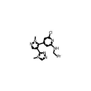 CC(C)CNc1cc(-c2c(-c3nncn3C)cnn2C)cc(Cl)n1